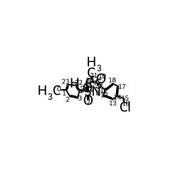 Cc1ccc(S(=O)(=O)N=S(=O)(c2ccc(CCl)cc2)C(C)C)cc1